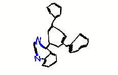 c1ccc(-c2cc(-c3ccccc3)cc(-c3ncnc4ccccc34)c2)cc1